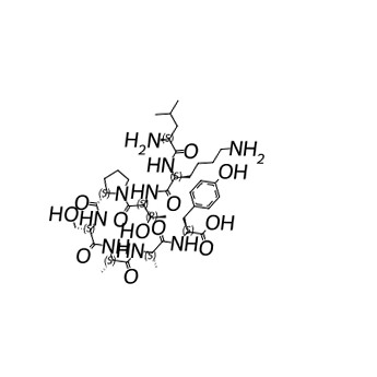 CC(C)C[C@H](N)C(=O)N[C@@H](CCCCN)C(=O)N[C@H](C(=O)N1CCC[C@H]1C(=O)N[C@@H](CO)C(=O)N[C@@H](C)C(=O)N[C@@H](C)C(=O)N[C@@H](Cc1ccc(O)cc1)C(=O)O)[C@@H](C)O